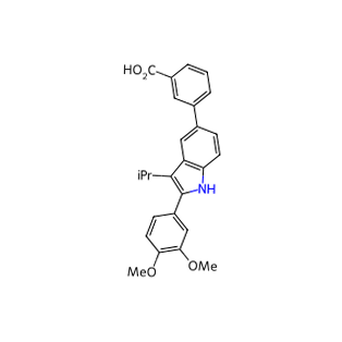 COc1ccc(-c2[nH]c3ccc(-c4cccc(C(=O)O)c4)cc3c2C(C)C)cc1OC